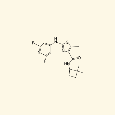 Cc1sc(Nc2cc(F)nc(F)c2)nc1C(=O)NC1CCC1(C)C